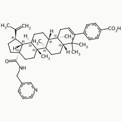 C=C(C)[C@@H]1CC[C@]2(C(=O)NCc3cccnc3)CC[C@]3(C)[C@H](CC[C@@H]4[C@@]5(C)CC=C(c6ccc(C(=O)O)cc6)C(C)(C)[C@@H]5CC[C@]43C)[C@@H]12